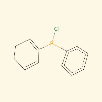 ClP(C1=CCCC=C1)c1ccccc1